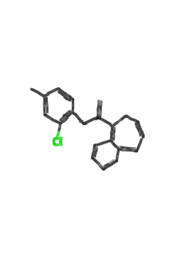 C=C(Cc1ccc(C)cc1Cl)C1=c2ccccc2=CC=CC1